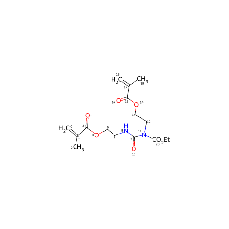 C=C(C)C(=O)OCCNC(=O)N(CCOC(=O)C(=C)C)C(=O)OCC